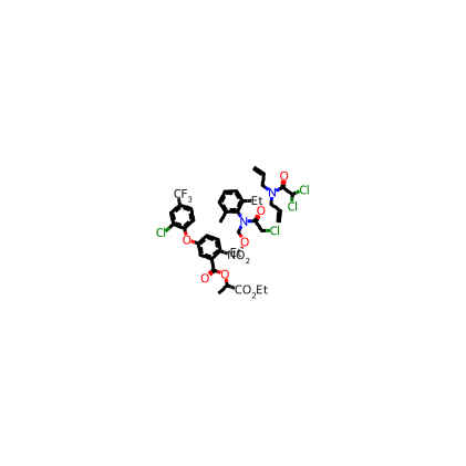 C=CCN(CC=C)C(=O)C(Cl)Cl.CCOC(=O)C(C)OC(=O)c1cc(Oc2ccc(C(F)(F)F)cc2Cl)ccc1[N+](=O)[O-].CCOCN(C(=O)CCl)c1c(C)cccc1CC